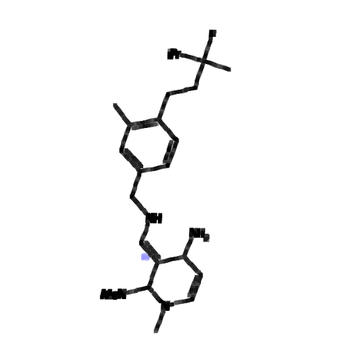 CNC1/C(=C/NCc2ccc(CCC(C)(F)C(C)C)c(C)c2)C(N)C=CN1C